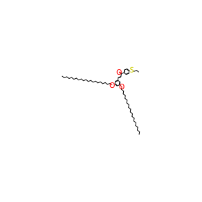 CCCCCCCCCCCCCCCCCCCCCOc1cc(C=CC(=O)c2ccc(SCCC)cc2)cc(OCCCCCCCCCCCCCCCCCCCCC)c1